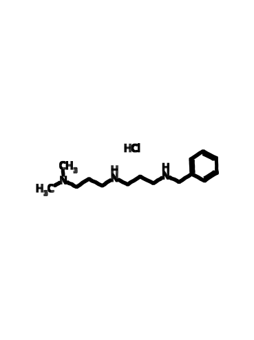 CN(C)CCCNCCCNCc1ccccc1.Cl